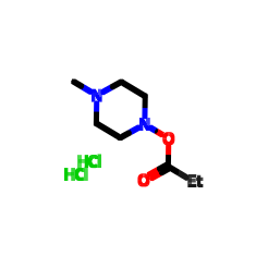 CCC(=O)ON1CCN(C)CC1.Cl.Cl